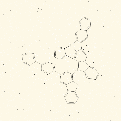 c1ccc(-c2ccc(-c3nc(-n4c5ccccc5c5cc6c7cc8ccccc8cc7n7c8ccccc8c(c54)c67)c4sc5ccccc5c4n3)cc2)cc1